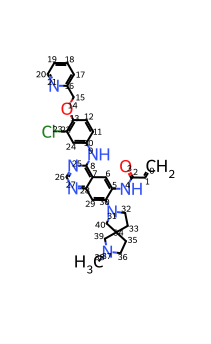 C=CC(=O)Nc1cc2c(Nc3ccc(OCc4ccccn4)c(Cl)c3)ncnc2cc1N1CCC2(CCN(C)C2)C1